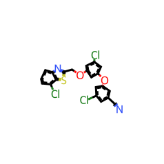 N#Cc1cc(Cl)cc(Oc2cc(Cl)cc(OCc3nc4cccc(Cl)c4s3)c2)c1